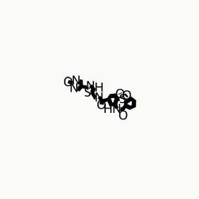 COc1ncc(-c2ncc(CNC(=O)c3ccc4c(c3)NC(=O)c3ccccc3S4(=O)=O)s2)cn1